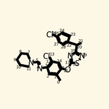 Cc1cc(/N=C/N2CCCCC2)c(Cl)cc1Oc1nc(C(C)c2ccc(Cl)cc2)ns1